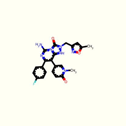 Cc1cc(Cn2[nH]c3c(-c4ccc(=O)n(C)c4)c(-c4ccc(F)cc4)nc(N)[n+]3c2=O)no1